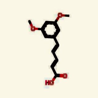 COc1cc(/C=C/C=C/C(=O)O)cc(OC)c1